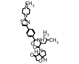 CC(C)C[C@H](NC(=O)c1ccc(-c2csc(N3CCN(C)CC3)n2)cc1)C(=O)N1CC[C@H]2OCC(=O)[C@H]21